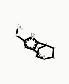 CSc1cc2c([nH]1)C1CCN(CC1)C2